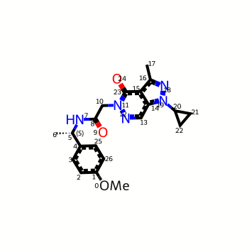 COc1ccc([C@H](C)NC(=O)Cn2ncc3c(c(C)nn3C3CC3)c2=O)cc1